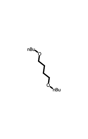 [CH2]CCCOCCCCOCCC[CH2]